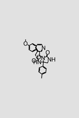 COc1ccc(CCN2C(=O)NCC2(NS(=O)(=O)Cc2cccnc2)c2ccc(C)cc2)cc1